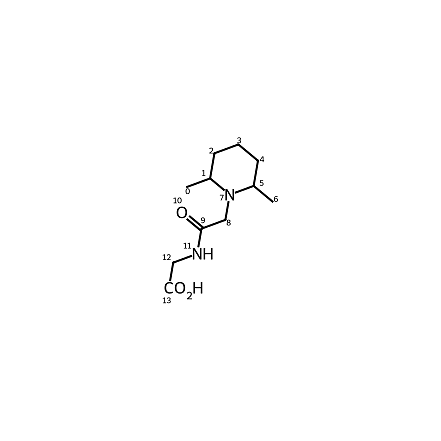 CC1CCCC(C)N1CC(=O)NCC(=O)O